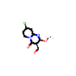 COc1nc2cc(Br)ccn2c(=O)c1C=O